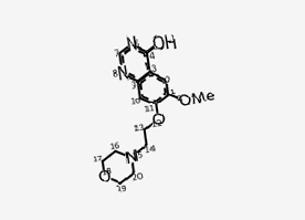 COc1cc2c(O)ncnc2cc1OCCN1CCOCC1